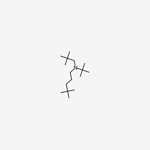 CC(C)(C)CCCN(CC(C)(C)C)C(C)(C)C